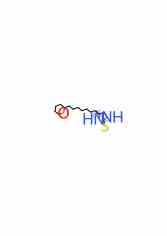 S=C1NC/C(=C/CCCCCCC2CCCCO2)N1